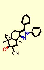 CC1(C)C(=O)C(C#N)=C[C@]2(C)c3nn(-c4ccccc4)c(-c4ccccc4)c3CC[C@@H]12